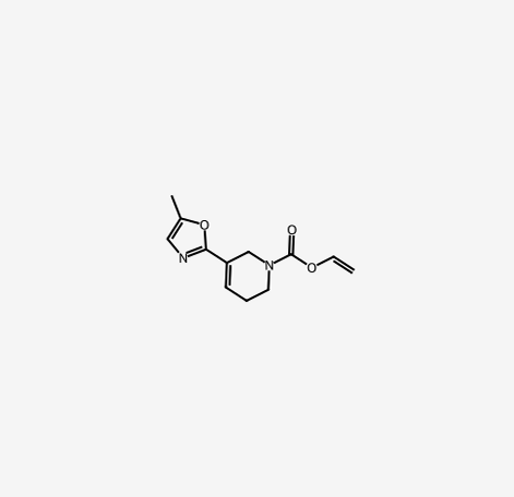 C=COC(=O)N1CCC=C(c2ncc(C)o2)C1